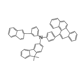 CC1(C)c2ccccc2-c2cc(N(c3ccc(-c4cc5ccccc5c5ccc6ccccc6c45)cc3)c3cccc(-c4ccc5ccccc5c4)c3)ccc21